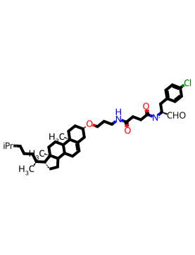 CC(C)CCC[C@@H](C)[C@H]1CCC2C3CC=C4C[C@@H](OCCCNC(=O)CCC(=O)[N][C@H](C=O)Cc5ccc(Cl)cc5)CC[C@]4(C)C3CC[C@@]21C